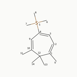 CC1=CC=C(S(C)(C)C)C=C(C)C1(C)C